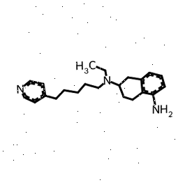 CCN(CCCCCc1ccncc1)C1CCc2c(N)cccc2C1